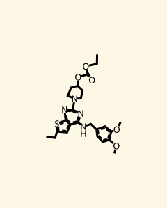 CCOC(=O)OC1CCN(c2nc(NCc3ccc(OC)c(OC)c3)c3cc(CC)sc3n2)CC1